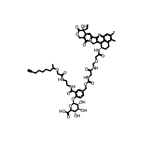 C#CCCCCCC(C)OCC(=O)NCCNC(=O)c1cc(COC(=O)NCC(=O)NCOCC(=O)N[C@H]2CCc3c(C)c(F)cc4nc5c(c2c34)Cn2c-5cc3c(c2=O)COC(=O)[C@]3(O)CC)ccc1O[C@@H]1OC(C(=O)O)[C@@H](O)[C@H](O)[C@H]1O